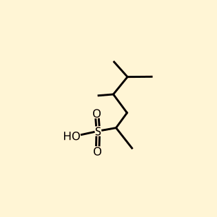 CC(C)C(C)CC(C)S(=O)(=O)O